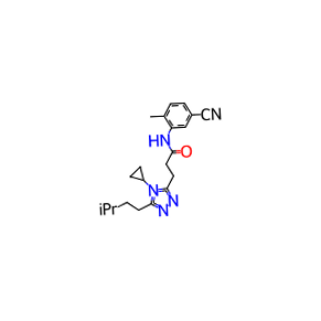 Cc1ccc(C#N)cc1NC(=O)CCc1nnc(CCC(C)C)n1C1CC1